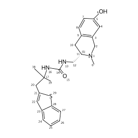 CN1Cc2cc(O)ccc2C[C@H]1CNC(=O)NC(C)(C)Cc1cc2ccccc2s1